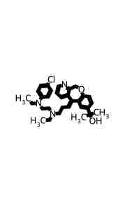 CCN(CC/C=C1/c2cc(C(C)(C)O)ccc2OCc2ncccc21)CCN(CC)c1ccc(Cl)cc1